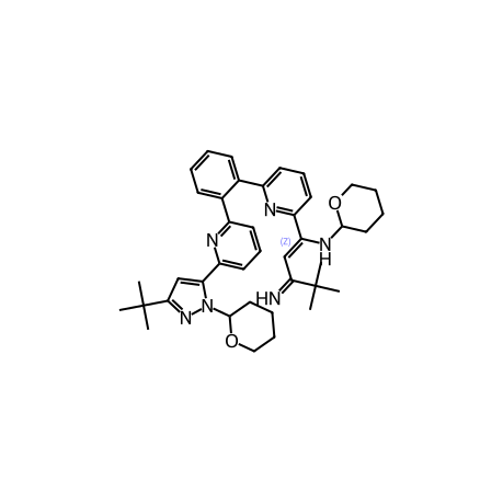 CC(C)(C)C(=N)/C=C(\NC1CCCCO1)c1cccc(-c2ccccc2-c2cccc(-c3cc(C(C)(C)C)nn3C3CCCCO3)n2)n1